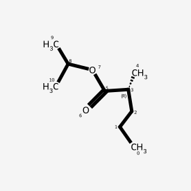 CCC[C@@H](C)C(=O)OC(C)C